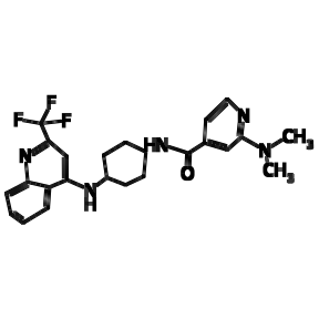 CN(C)c1cc(C(=O)NC2CCC(Nc3cc(C(F)(F)F)nc4ccccc34)CC2)ccn1